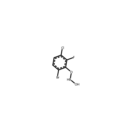 OBOc1c(Br)ccc(Cl)c1F